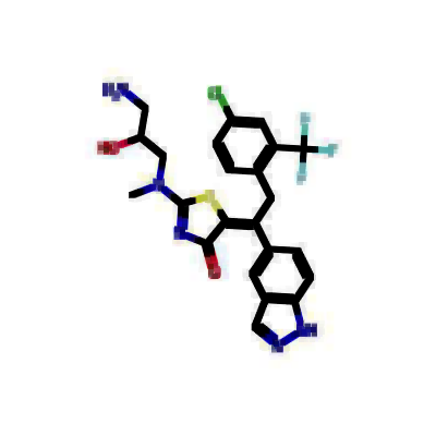 CN(CC(O)CN)C1=NC(=O)C(=C(Cc2ccc(Cl)cc2C(F)(F)F)c2ccc3[nH]ncc3c2)S1